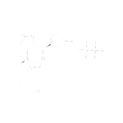 Cn1ncc2c1[C@@H](C1=NOC(CO[Si](C)(C)C(C)(C)C)C1)N1C[C@@H]2N(OS(=O)(=O)O)C1=O